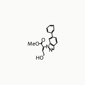 COC(=O)/C(=C/CO)n1ncc2ccc(-c3ccccc3)cc21